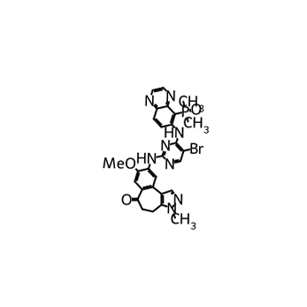 COc1cc2c(cc1Nc1ncc(Br)c(Nc3ccc4nccnc4c3P(C)(C)=O)n1)-c1cnn(C)c1CCC2=O